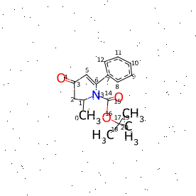 CC1CC(=O)C=C(c2ccccc2)N1C(=O)OC(C)(C)C